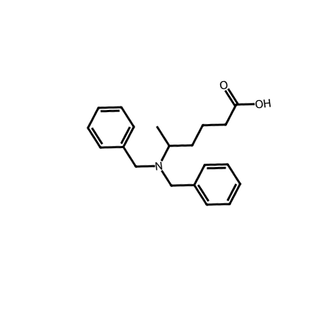 CC(CCCC(=O)O)N(Cc1ccccc1)Cc1ccccc1